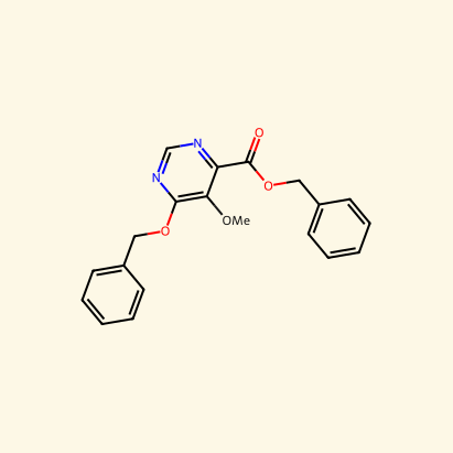 COc1c(OCc2ccccc2)ncnc1C(=O)OCc1ccccc1